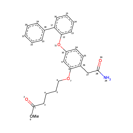 COC(=O)CCCCOc1cc(Oc2ccccc2-c2ccccc2)ccc1CC(N)=O